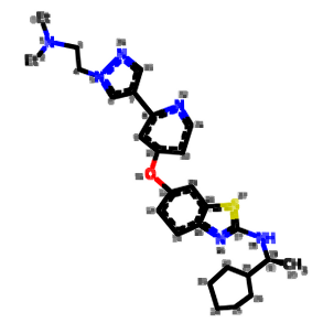 CCN(CC)CCn1cc(-c2cc(Oc3ccc4nc(N[C@@H](C)C5CCCCC5)sc4c3)ccn2)cn1